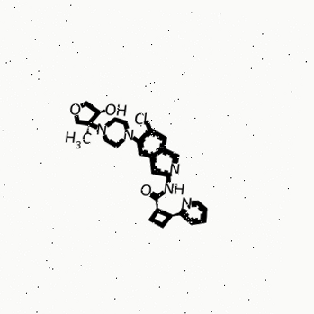 C[C@]1(N2CCN(c3cc4cc(NC(=O)[C@@H]5CC[C@@H]5c5ccccn5)ncc4cc3Cl)CC2)COC[C@H]1O